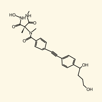 CNC(=O)[C@@](C)(C(=O)NO)N(C)C(=O)c1ccc(C#Cc2ccc(C(O)CCCO)cc2)cc1